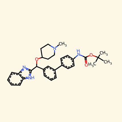 CN1CCC(OC(c2cccc(-c3ccc(NC(=O)OC(C)(C)C)cc3)c2)c2nc3ccccc3[nH]2)CC1